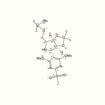 COc1nc(S(C)(=O)=O)nc(OC)c1[C@@H]1NC(CO[Si](C)(C)C(C)(C)C)[C@H]2OC(C)(C)O[C@H]21